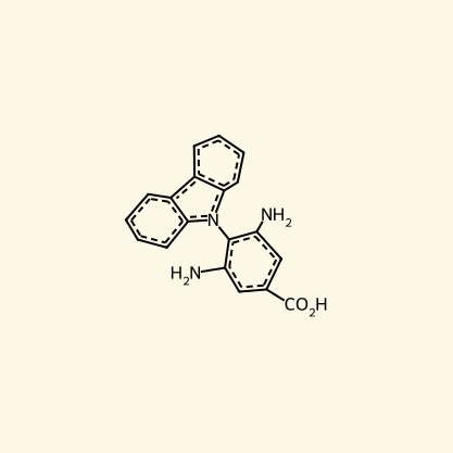 Nc1cc(C(=O)O)cc(N)c1-n1c2ccccc2c2ccccc21